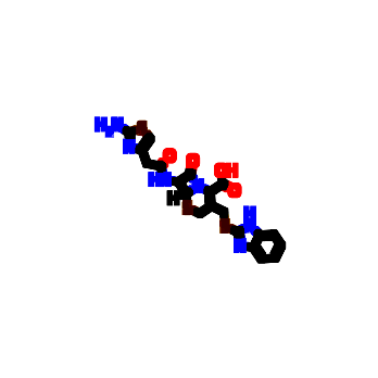 Nc1nc(CC(=O)NC2C(=O)N3C(C(=O)O)=C(CSc4nc5ccccc5[nH]4)CS[C@H]23)cs1